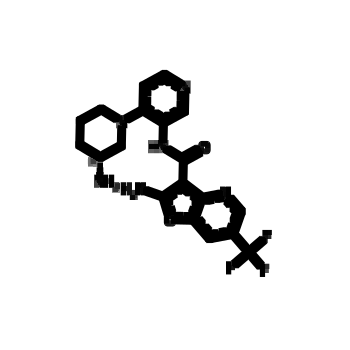 Nc1oc2cc(C(F)(F)F)cnc2c1C(=O)Nc1cnccc1N1CCC[C@@H](N)C1